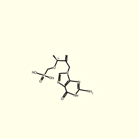 C=C(Cn1cnc2c(=O)[nH]c(N)nc21)[C@H](C)OCP(=O)(O)O